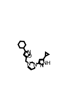 C1=CN(Cc2cc(C3CCCCC3)no2)CN(c2cc(C3CC3)[nH]n2)C1